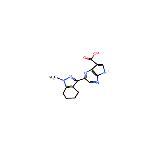 Cn1nc(-c2cnc3[nH]cc(C(=O)O)c3n2)c2c1CCCC2